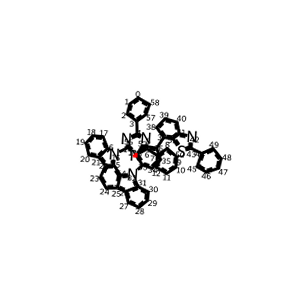 c1ccc(-c2nc(-c3ccccc3)nc(-n3c4ccccc4c4ccc5c6ccccc6n(-c6ccc(-c7cccc8nc(-c9ccccc9)sc78)cc6)c5c43)n2)cc1